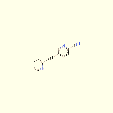 N#Cc1ccc(C#Cc2ccccn2)cn1